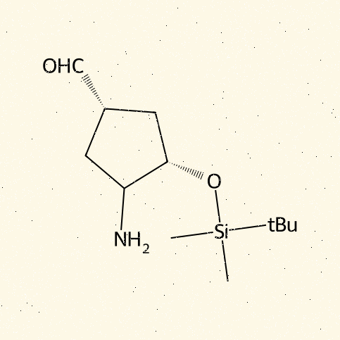 CC(C)(C)[Si](C)(C)O[C@H]1C[C@@H](C=O)CC1N